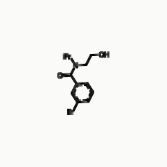 CC(C)N(CCO)C(=O)c1cccc(Br)c1